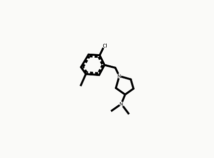 Cc1ccc(Cl)c(CN2CCC(N(C)C)C2)c1